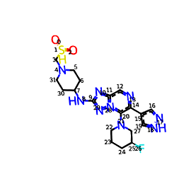 O=[SH](=O)CN1CCC(Nc2nc3cnc(-c4cn[nH]c4)c(N4CCC[C@H](F)C4)n3n2)CC1